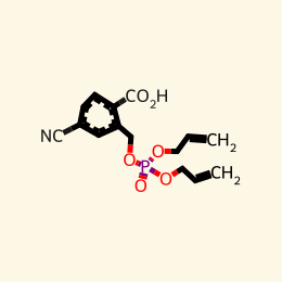 C=CCOP(=O)(OCC=C)OCc1cc(C#N)ccc1C(=O)O